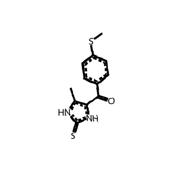 CSc1ccc(C(=O)c2[nH]c(=S)[nH]c2C)cc1